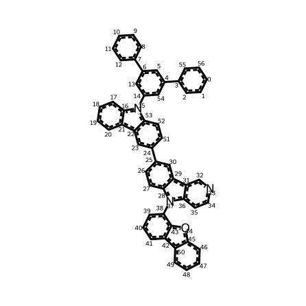 c1ccc(-c2cc(-c3ccccc3)cc(-n3c4ccccc4c4cc(-c5ccc6c(c5)c5cnccc5n6-c5cccc6c5oc5ccccc56)ccc43)c2)cc1